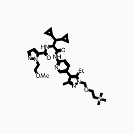 CCc1c(-c2ccc(NC(=O)C(NC(=O)c3ccnn3CCOC)C(C3CC3)C3CC3)nc2)c(C)nn1COCC[Si](C)(C)C